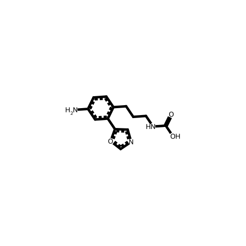 Nc1ccc(CCCNC(=O)O)c(-c2cnco2)c1